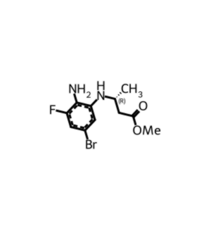 COC(=O)C[C@@H](C)Nc1cc(Br)cc(F)c1N